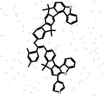 Cc1ccc(/C(=C\c2ccc3c(c2)C(C)(C)c2cc(-c4ccncc4)c4oc5ccccc5c4c2-3)Cc2ccc3c(c2)C(C)(C)c2cc4c(cc2-3)C(C)(C)c2ccc3oc5ccccc5c3c2-4)c(C)c1